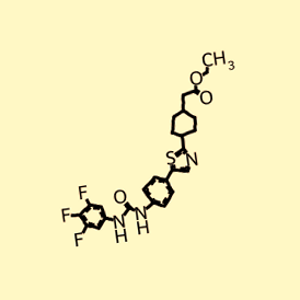 CCOC(=O)CC1CCC(c2ncc(-c3ccc(NC(=O)Nc4cc(F)c(F)c(F)c4)cc3)s2)CC1